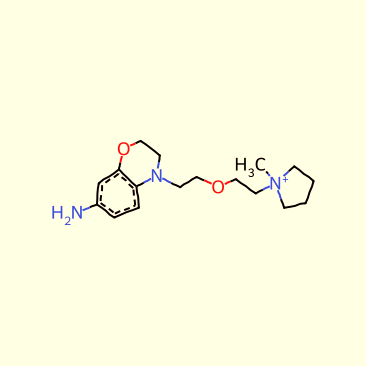 C[N+]1(CCOCCN2CCOc3cc(N)ccc32)CCCC1